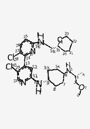 COC[C@@H](C)N[C@H]1CC[C@H](Nc2cc(-c3nc(NC[C@H]4CCCCO4)ccc3Cl)c(Cl)cn2)CC1